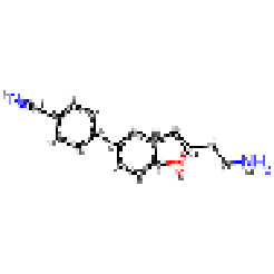 N#Cc1ccc(-c2ccc3oc(CCN)cc3c2)cc1